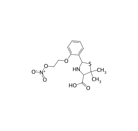 CC1(C)SC(c2ccccc2OCCO[N+](=O)[O-])NC1C(=O)O